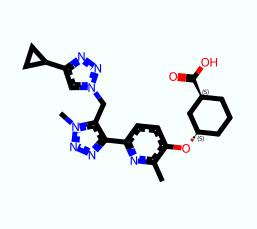 Cc1nc(-c2nnn(C)c2Cn2cc(C3CC3)nn2)ccc1O[C@H]1CCC[C@H](C(=O)O)C1